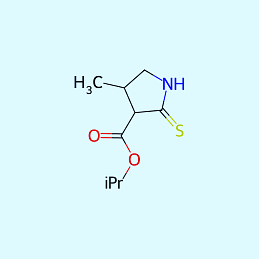 CC(C)OC(=O)C1C(=S)NCC1C